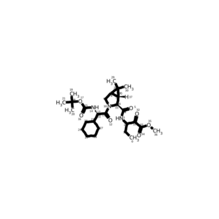 CCC(NC(=O)[C@@H]1[C@@H]2C(CN1C(=O)[C@@H](NC(=O)OC(C)(C)C)C1CCCCC1)C2(C)C)C(=O)C(=O)OC